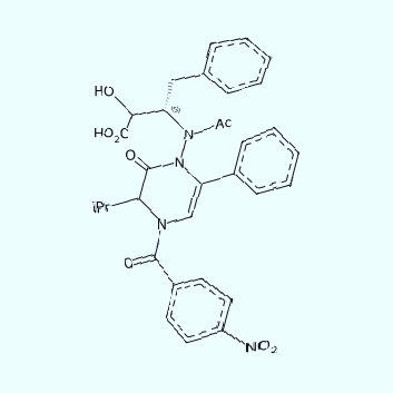 CC(=O)N([C@@H](Cc1ccccc1)C(O)C(=O)O)N1C(=O)C(C(C)C)N(C(=O)c2ccc([N+](=O)[O-])cc2)C=C1c1ccccc1